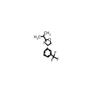 CC(C)C1=N[C@@H](c2cccc(C(F)(F)F)c2)CO1